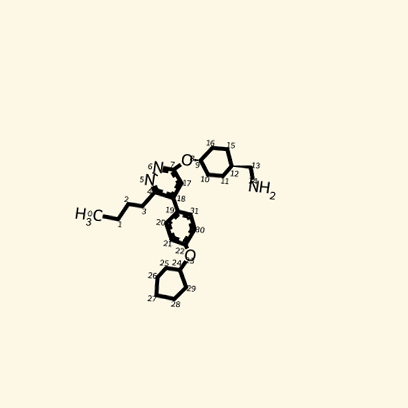 CCCCc1nnc(O[C@H]2CC[C@H](CN)CC2)cc1-c1ccc(OC2CCCCC2)cc1